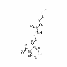 CCCCOC(=O)NCCOc1cccnc1C(C)=O